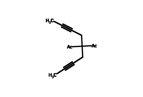 CC#CCC(CC#CC)(C(C)=O)C(C)=O